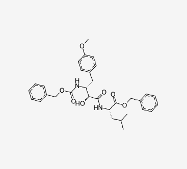 COc1ccc(C[C@@H](NC(=O)OCc2ccccc2)[C@H](O)C(=O)N[C@@H](CC(C)C)C(=O)OCc2ccccc2)cc1